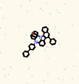 c1ccc(-c2ccc(N(c3ccccc3)c3cccc4c5c(-c6ccccc6)cc6ccccc6c5n(-c5ccccc5)c34)cc2)cc1